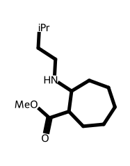 COC(=O)C1CCCCCC1NCCC(C)C